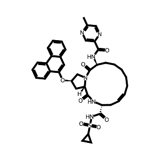 Cc1cnc(C(=O)N[C@H]2CCCCC/C=C\C[C@H](C(=O)NS(=O)(=O)C3CC3)NC(=O)[C@@H]3C[C@@H](Oc4cc5ccccc5c5ccccc45)CN3C2=O)cn1